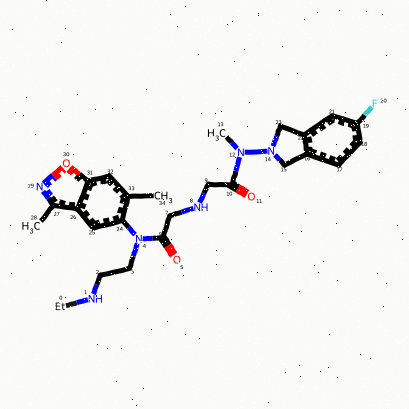 CCNCCN(C(=O)CNCC(=O)N(C)N1Cc2ccc(F)cc2C1)c1cc2c(C)noc2cc1C